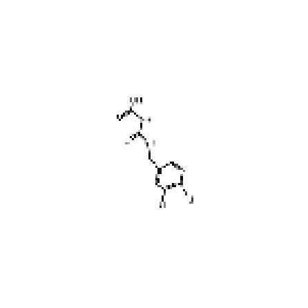 O=C(O)NC(=O)NCc1ccc(Cl)c(Cl)c1